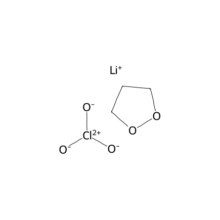 C1COOC1.[Li+].[O-][Cl+2]([O-])[O-]